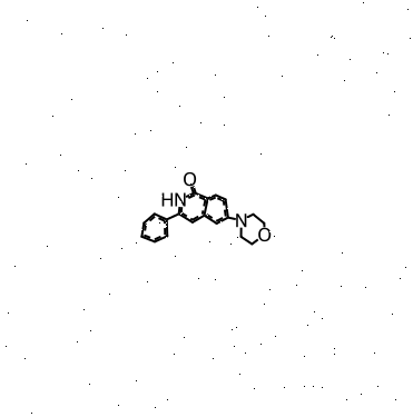 O=c1[nH]c(-c2ccccc2)cc2cc(N3CCOCC3)ccc12